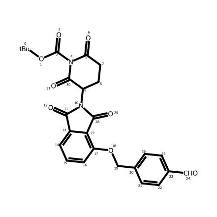 CC(C)(C)OC(=O)N1C(=O)CCC(N2C(=O)c3cccc(OCc4ccc(C=O)cc4)c3C2=O)C1=O